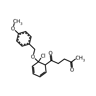 COc1ccc(COC2(Cl)C=CC=CC2C(=O)CCC(C)=O)cc1